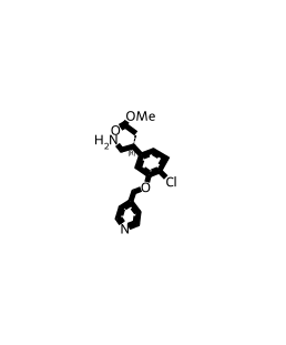 COC(=O)C[C@@H](CN)c1ccc(Cl)c(OCc2ccncc2)c1